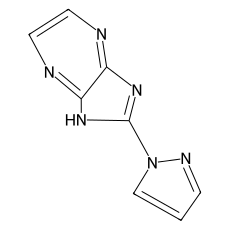 c1cnn(-c2nc3nccnc3[nH]2)c1